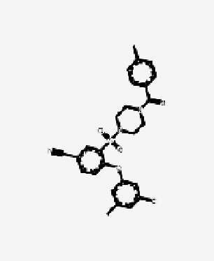 Cc1ccc(C(=O)N2CCN(S(=O)(=O)c3cc(C#N)ccc3Oc3cc(C)cc(Cl)c3)CC2)cc1